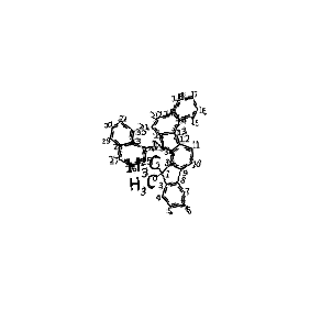 CC1(C)c2ccccc2-c2ccc3c4c5ccccc5ccc4n(-c4cccc5ccccc45)c3c21